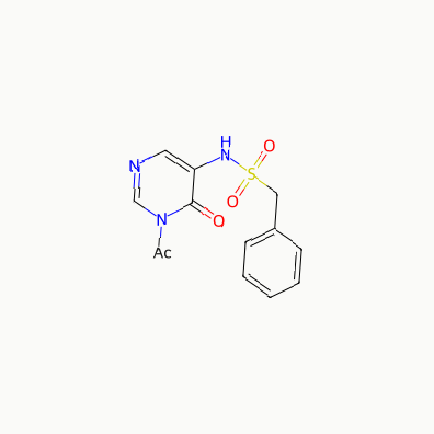 CC(=O)n1cncc(NS(=O)(=O)Cc2ccccc2)c1=O